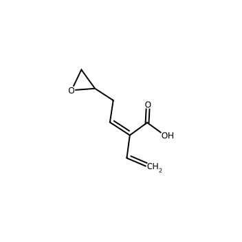 C=CC(=CCC1CO1)C(=O)O